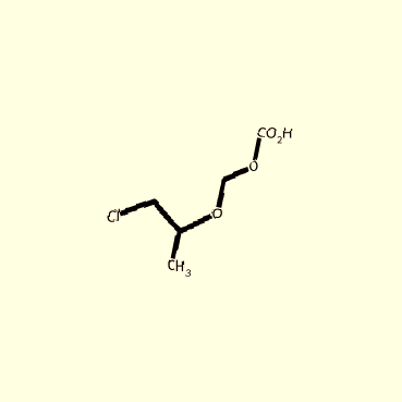 CC(CCl)OCOC(=O)O